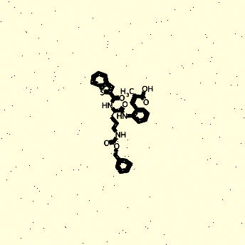 CC(=Cc1ccccc1NC(=O)[C@H](CCCNC(=O)OCc1ccccc1)NC(=O)c1cc2ccccc2s1)C(=O)O